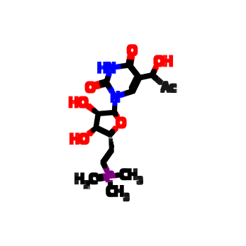 C=P(C)(C)CC[C@H]1OC(n2cc(C(O)C(C)=O)c(=O)[nH]c2=O)[C@H](O)[C@@H]1O